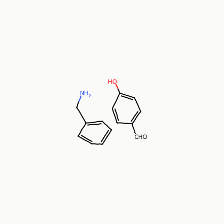 NCc1ccccc1.O=Cc1ccc(O)cc1